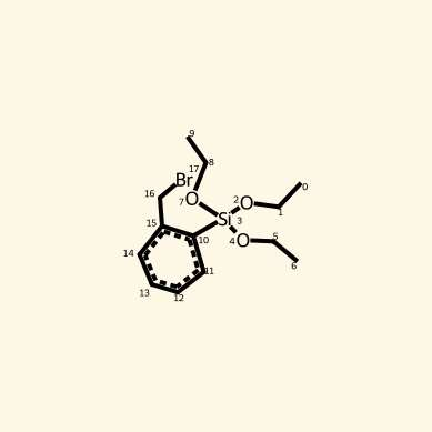 CCO[Si](OCC)(OCC)c1ccccc1CBr